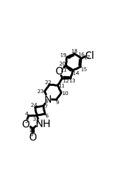 O=C1NC2(CO1)CC(N1CCC(c3cc4cc(Cl)ccc4o3)CC1)C2